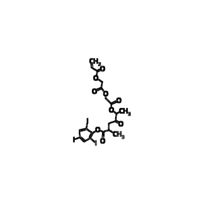 C=CC(=O)OCC(=O)OCC(=O)OC(C)C(=O)CC(C)C(=O)Oc1c(I)cc(I)cc1I